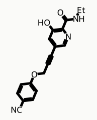 CCNC(=O)c1ncc(C#CCOc2ccc(C#N)cc2)cc1O